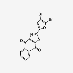 O=C1c2ccccc2C(=O)c2sc(-c3cc(Br)c(Br)o3)nc21